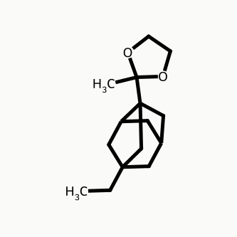 CCC12CC3CC(C1)C(C1(C)OCCO1)(C3)C2